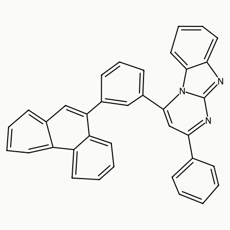 c1ccc(-c2cc(-c3cccc(-c4cc5ccccc5c5ccccc45)c3)n3c(n2)nc2ccccc23)cc1